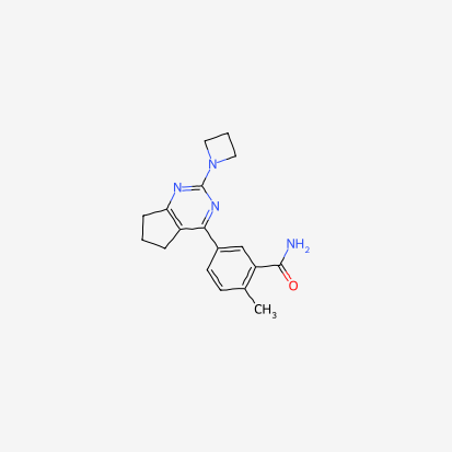 Cc1ccc(-c2nc(N3CCC3)nc3c2CCC3)cc1C(N)=O